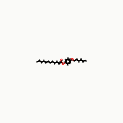 CCCCCCCCCCCC(=O)Oc1ccc(OCCCCCC)cc1